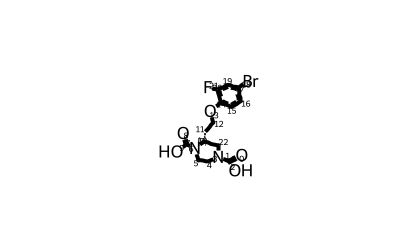 O=C(O)N1CCN(C(=O)O)[C@H](CCOc2ccc(Br)cc2F)C1